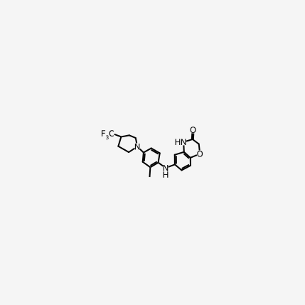 Cc1cc(N2CCC(C(F)(F)F)CC2)ccc1Nc1ccc2c(c1)NC(=O)CO2